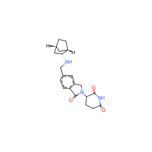 O=C1CCC(N2Cc3cc(CN[C@@H]4C[C@@H]5CC[C@H]4C5)ccc3C2=O)C(=O)N1